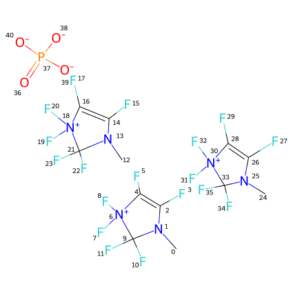 CN1C(F)=C(F)[N+](F)(F)C1(F)F.CN1C(F)=C(F)[N+](F)(F)C1(F)F.CN1C(F)=C(F)[N+](F)(F)C1(F)F.O=P([O-])([O-])[O-]